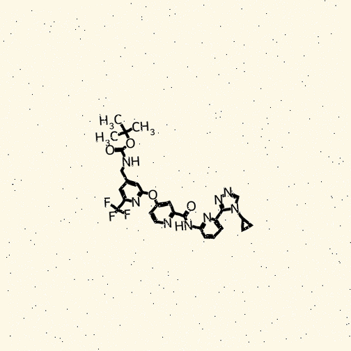 CC(C)(C)OC(=O)NCc1cc(Oc2ccnc(C(=O)Nc3cccc(-c4nncn4C4CC4)n3)c2)nc(C(F)(F)F)c1